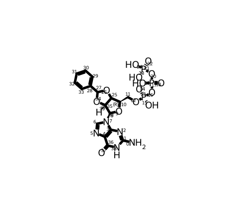 Nc1nc2c(ncn2[C@@H]2O[C@H](COP(=O)(O)OP(=O)(O)OP(=O)(O)O)C3OC(c4ccccc4)O[C@@H]32)c(=O)[nH]1